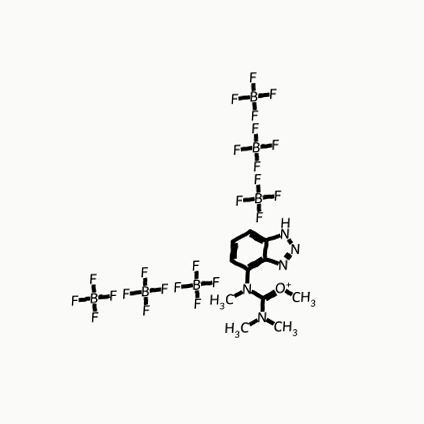 C[O+]=C(N(C)C)N(C)c1cccc2[nH]nnc12.F[B-](F)(F)F.F[B-](F)(F)F.F[B-](F)(F)F.F[B-](F)(F)F.F[B-](F)(F)F.F[B-](F)(F)F